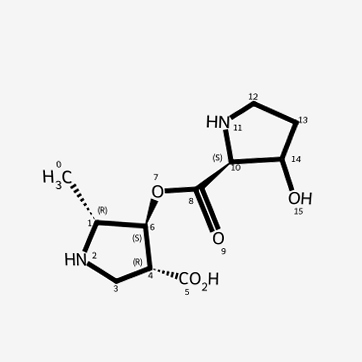 C[C@H]1NC[C@@H](C(=O)O)[C@@H]1OC(=O)[C@H]1NCCC1O